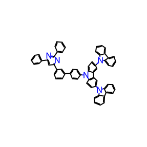 c1ccc(-c2cc(-c3cccc(-c4ccc(-n5c6ccc(-n7c8ccccc8c8ccccc87)cc6c6cc(-n7c8ccccc8c8ccccc87)ccc65)cc4)c3)nc(-c3ccccc3)n2)cc1